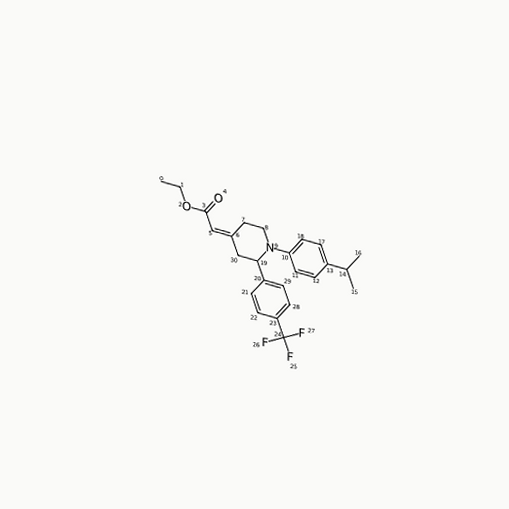 CCOC(=O)C=C1CCN(c2ccc(C(C)C)cc2)C(c2ccc(C(F)(F)F)cc2)C1